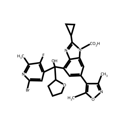 Cc1nc(Br)cc(C(O)(c2cc(-c3c(C)noc3C)cc3c2nc(C2CC2)n3C(=O)O)C2CCCO2)c1F